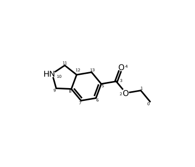 CCOC(=O)C1=CC=C2CNCC2C1